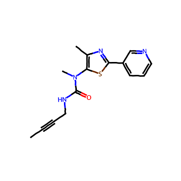 CC#CCNC(=O)N(C)c1sc(-c2cccnc2)nc1C